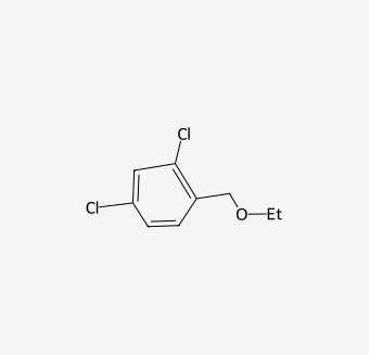 CCOCc1ccc(Cl)cc1Cl